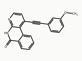 COc1cccc(C#Cc2ccnc3[nH]c(=O)c4ccccc4c23)c1